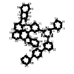 c1ccc(-c2ccc(-c3cccc(-c4nc(-c5ccccc5)nc(-c5ccc(-n6c7ccccc7c7cc8ccccc8cc76)c(-c6cc7ccccc7c7sc8ccccc8c67)c5)n4)c3)cc2)cc1